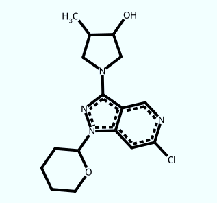 CC1CN(c2nn(C3CCCCO3)c3cc(Cl)ncc23)CC1O